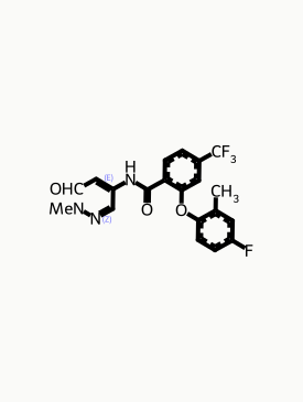 CN/N=C\C(=C/C=O)NC(=O)c1ccc(C(F)(F)F)cc1Oc1ccc(F)cc1C